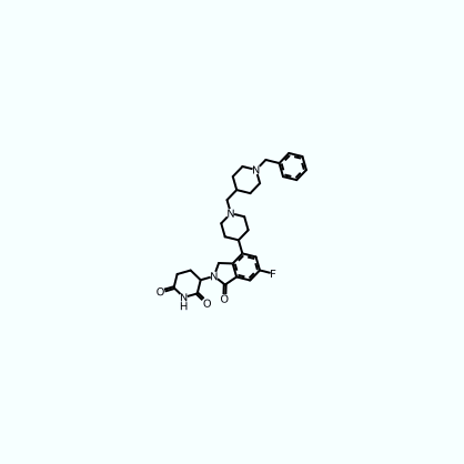 O=C1CCC(N2Cc3c(cc(F)cc3C3CCN(CC4CCN(Cc5ccccc5)CC4)CC3)C2=O)C(=O)N1